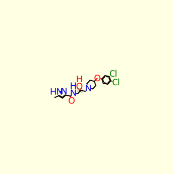 Cc1cc(C(=O)NC[C@@H](O)CN2CCC(Oc3ccc(Cl)c(Cl)c3)CC2)n[nH]1